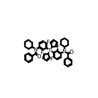 O=C(c1ccccc1)N(c1ccc(F)[c]([Ti]([c]2c(F)ccc(N(C(=O)c3ccccc3)C3CCCCC3)c2F)([CH]2C=CC=C2)[CH]2C=CC=C2)c1F)C1CCCCC1